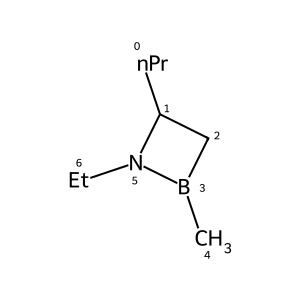 CCCC1CB(C)N1CC